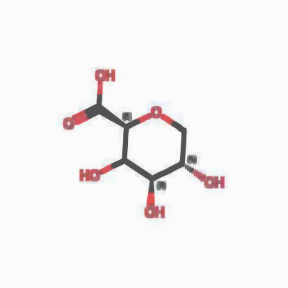 O=C(O)[C@H]1OC[C@H](O)[C@@H](O)C1O